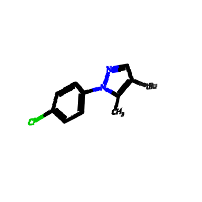 Cc1c(C(C)(C)C)cnn1-c1ccc(Cl)cc1